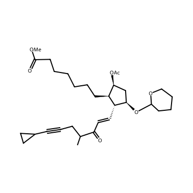 COC(=O)CCCCCC[C@@H]1[C@@H](/C=C/C(=O)C(C)CC#CC2CC2)[C@H](OC2CCCCO2)C[C@@H]1OC(C)=O